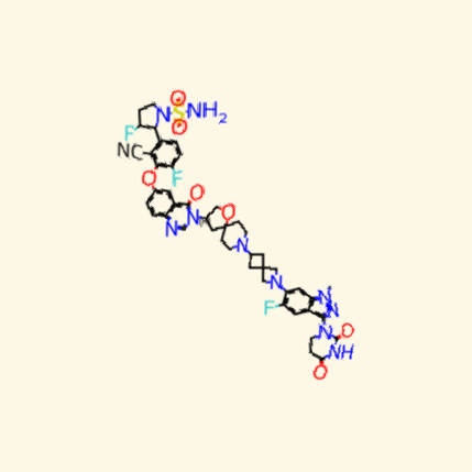 Cn1nc(N2CCC(=O)NC2=O)c2cc(F)c(N3CC4(CC(N5CCC6(CC5)C[C@@H](n5cnc7ccc(Oc8c(F)ccc(C9C(F)CCN9S(N)(=O)=O)c8C#N)cc7c5=O)CO6)C4)C3)cc21